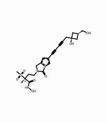 C[C@@](CCN1Cc2cc(C#CC#CC[C@]3(O)C[C@@H](CO)C3)cn2C1=O)(C(=O)NO)S(C)(=O)=O